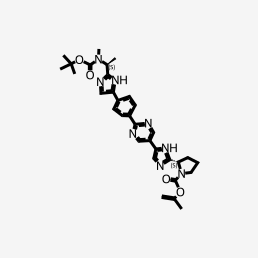 C=C(C)OC(=O)N1CCC[C@H]1c1ncc(-c2cnc(-c3ccc(-c4cnc([C@H](C)N(C)C(=O)OC(C)(C)C)[nH]4)cc3)nc2)[nH]1